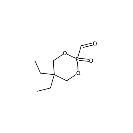 CCC1(CC)COP(=O)(C=O)OC1